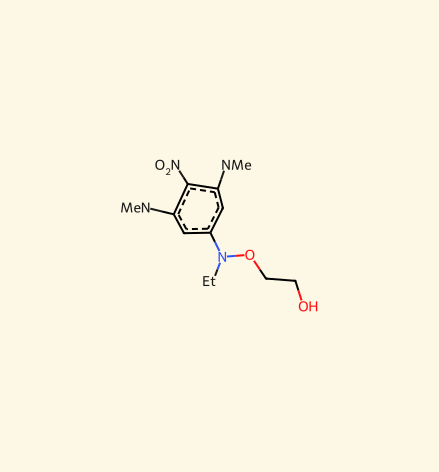 CCN(OCCO)c1cc(NC)c([N+](=O)[O-])c(NC)c1